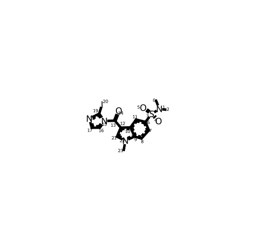 CN(C)S(=O)(=O)c1ccc2c(c1)c(C(=O)n1ccnc1I)cn2C